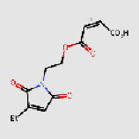 CCC1=CC(=O)N(CCOC(=O)/C=C\C(=O)O)C1=O